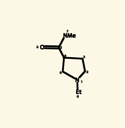 CCN1CCC(C(=O)NC)C1